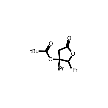 CC(C)C1OC(=O)CC1(OC(=O)C(C)(C)C)C(C)C